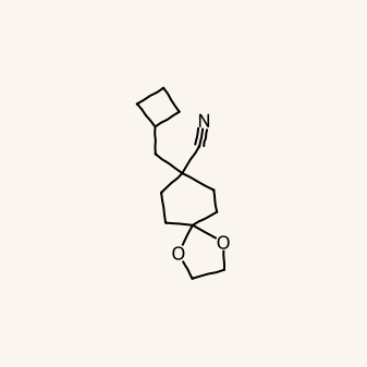 N#CC1(CC2CCC2)CCC2(CC1)OCCO2